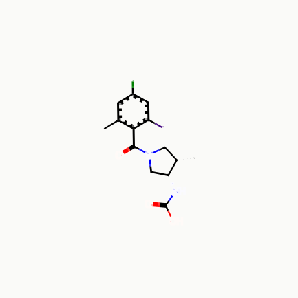 Cc1cc(Cl)cc(I)c1C(=O)N1C[C@H](C)[C@H](NC(=O)O)C1